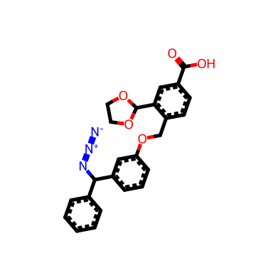 [N-]=[N+]=NC(c1ccccc1)c1cccc(OCc2ccc(C(=O)O)cc2C2OCCO2)c1